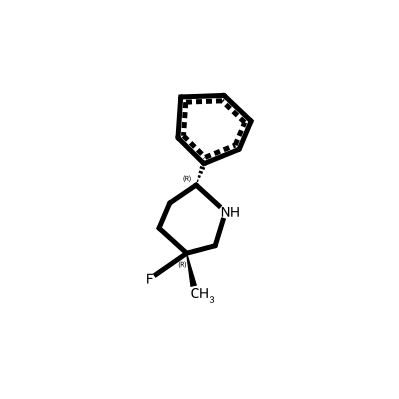 C[C@@]1(F)CC[C@H](c2ccccc2)NC1